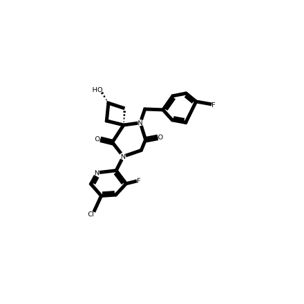 O=C1CN(c2ncc(Cl)cc2F)C(=O)[C@]2(C[C@@H](O)C2)N1Cc1ccc(F)cc1